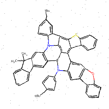 CC(C)(C)c1ccc(N2B3c4cc5c(cc4-n4c6ccc(C(C)(C)C)cc6c6c7sc8ccccc8c7c(c3c64)-c3cc4oc6ccccc6c4cc32)C(C)(C)c2ccccc2-5)cc1